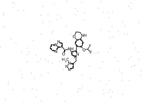 Cn1nncc1Cn1cc(NC(=O)c2cnn3cccnc23)c(-c2cc3c(cc2OC(F)F)NCCO3)n1